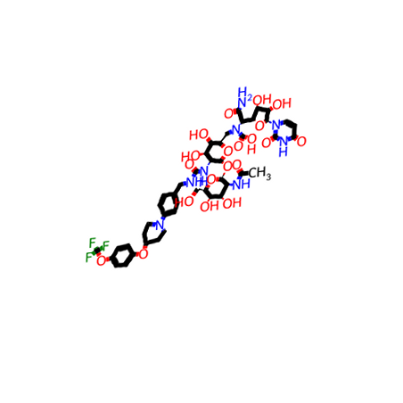 CC(=O)N[C@@H]1[C@@H](O[C@@H]2O[C@H](CN(C(=O)O)[C@H](C(N)=O)[C@H]3O[C@@H](n4ccc(=O)[nH]c4=O)C(O)[C@H]3O)C(O)[C@H](O)[C@H]2NC(=O)NCc2ccc(N3CCC(Oc4ccc(OC(F)(F)F)cc4)CC3)cc2)O[C@@H](CO)[C@@H](O)[C@H]1O